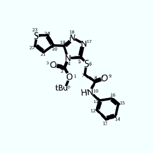 CC(C)(C)OC(=O)n1c(SCC(=O)Nc2ccccc2)nnc1-c1ccsc1